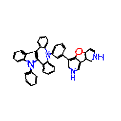 C1=Cc2oc3c(c2CN1)=CNCC=3c1cccc(N2c3ccccc3-c3c(n(-c4ccccc4)c4ccccc34)-c3ccccc32)c1